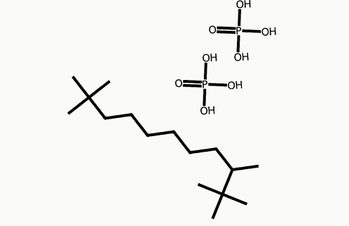 CC(CCCCCCC(C)(C)C)C(C)(C)C.O=P(O)(O)O.O=P(O)(O)O